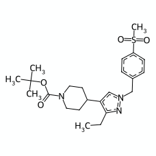 CCc1nn(Cc2ccc(S(C)(=O)=O)cc2)cc1C1CCN(C(=O)OC(C)(C)C)CC1